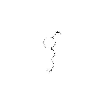 NCCCN1CCCC(N)C1